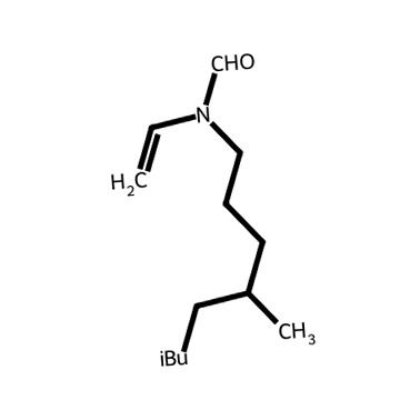 C=CN(C=O)CCCC(C)CC(C)CC